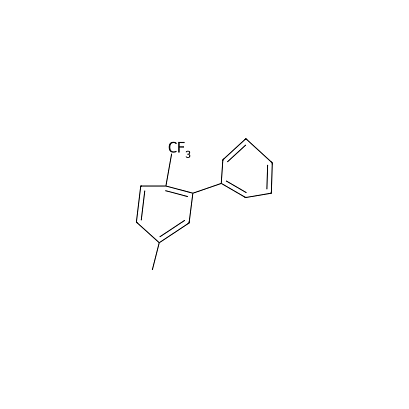 Cc1ccc(C(F)(F)F)c(-c2ccccc2)c1